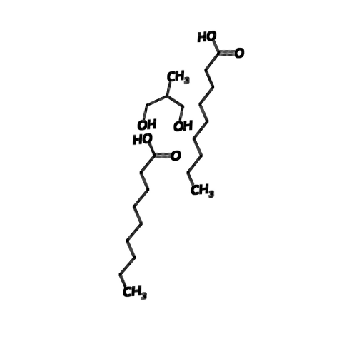 CC(CO)CO.CCCCCCCCC(=O)O.CCCCCCCCC(=O)O